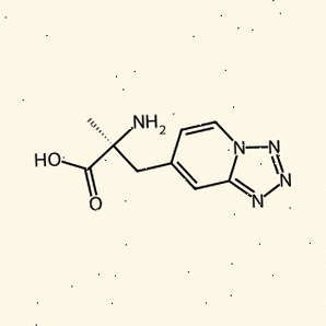 C[C@](N)(Cc1ccn2nnnc2c1)C(=O)O